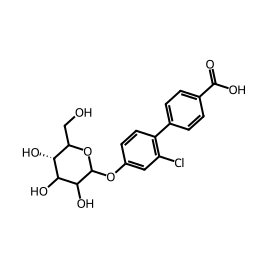 O=C(O)c1ccc(-c2ccc(OC3OC(CO)[C@@H](O)C(O)C3O)cc2Cl)cc1